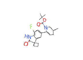 CC1CC=C(c2cc(F)c3c(c2)C2(CCC2)C(=O)N3)N(C(=O)OC(C)(C)C)C1